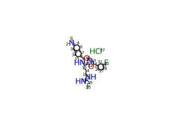 CN(C)c1ccc2cc(C(=O)NC(CCCNC(=N)CF)c3ncc(-c4cccc(F)c4)o3)ccc2c1.Cl